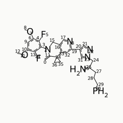 C=C1N(c2c(F)c(OC)cc(OC)c2F)Cc2cnc(-c3cnn(CC(N)CCCP)c3)cc2C12CC2